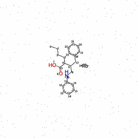 CCCCC(C(=O)O)C(CNc1ccccc1)Cc1ccccc1.[Rb]